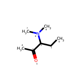 CCC(C(C)=O)N(C)C